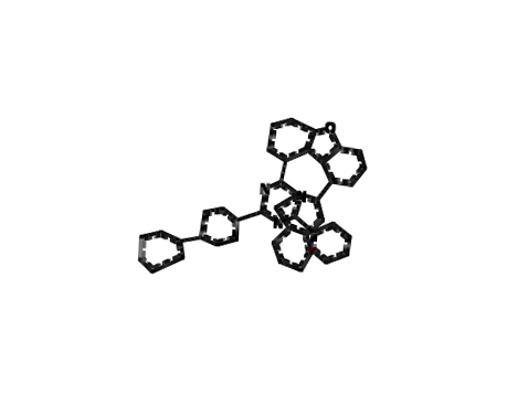 c1ccc(-c2ccc(-c3nc(-c4ccccc4)nc(-c4cccc5oc6cccc(-c7ccc8ccccc8c7)c6c45)n3)cc2)cc1